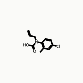 C=CCN(C(=O)O)c1ccc(Cl)cc1C